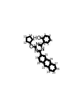 Oc1ccccc1-c1nc(OC2CCCC2)nc(-c2ccc3cc4ccccc4cc3c2)n1